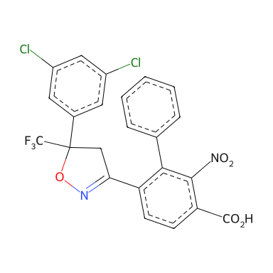 O=C(O)c1ccc(C2=NOC(c3cc(Cl)cc(Cl)c3)(C(F)(F)F)C2)c(-c2ccccc2)c1[N+](=O)[O-]